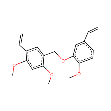 C=Cc1ccc(OC)c(OCc2cc(C=C)c(OC)cc2OC)c1